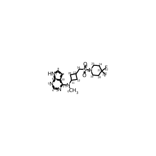 CN(c1ncnc2[nH]ccc12)C1CC(CS(=O)(=O)N2CCC(F)(F)CC2)C1